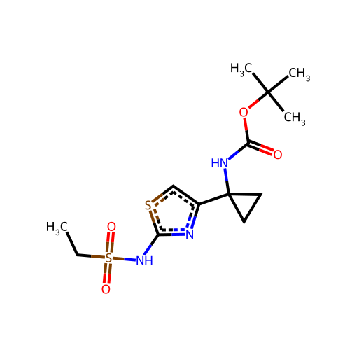 CCS(=O)(=O)Nc1nc(C2(NC(=O)OC(C)(C)C)CC2)cs1